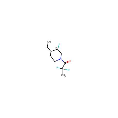 CC(F)(F)C(=O)N1CCC(CC#N)[C@@H](F)C1